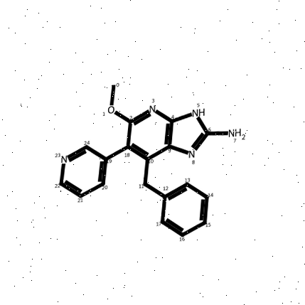 COc1nc2[nH]c(N)nc2c(Cc2ccccc2)c1-c1cccnc1